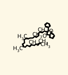 CC(C)=CCC/C(C)=C/CCC(C)=CCC/C(C)=C/CCC(C)=CCC/C(C)=C/Cc1c(-c2ccccc2)oc2ccccc2c1=O